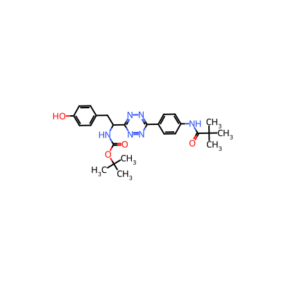 CC(C)(C)OC(=O)NC(Cc1ccc(O)cc1)c1nnc(-c2ccc(NC(=O)C(C)(C)C)cc2)nn1